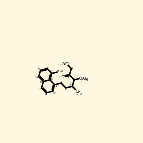 COC(C(=O)CC#N)C(CCc1cccc2cccc(F)c12)C(F)(F)F